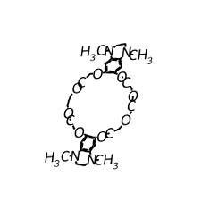 CN1CCN(C)c2cc3c(cc21)OCCOCCOCCOc1cc2c(cc1OCCOCCOCCO3)N(C)CCN2C